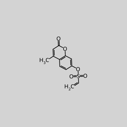 C=CS(=O)(=O)Oc1ccc2c(C)cc(=O)oc2c1